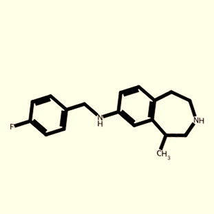 CC1CNCCc2ccc(NCc3ccc(F)cc3)cc21